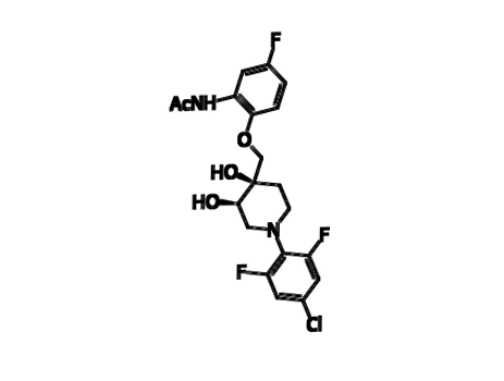 CC(=O)Nc1cc(F)ccc1OC[C@]1(O)CCN(c2c(F)cc(Cl)cc2F)C[C@H]1O